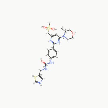 C[C@H]1COCCN1c1cc(CS(C)(=O)=O)nc(-c2ccc(NC(=O)NCc3cncs3)cc2)n1